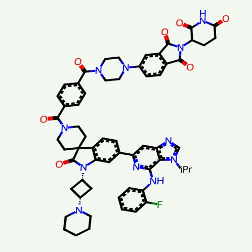 CC(C)n1cnc2cc(-c3ccc4c(c3)N([C@H]3C[C@@H](N5CCCCC5)C3)C(=O)C43CCN(C(=O)c4ccc(C(=O)N5CCN(c6ccc7c(c6)C(=O)N(C6CCC(=O)NC6=O)C7=O)CC5)cc4)CC3)nc(Nc3ccccc3F)c21